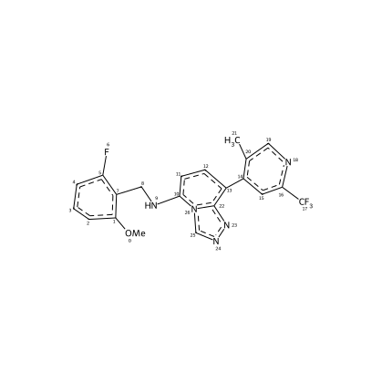 COc1cccc(F)c1CNc1ccc(-c2cc(C(F)(F)F)ncc2C)c2nncn12